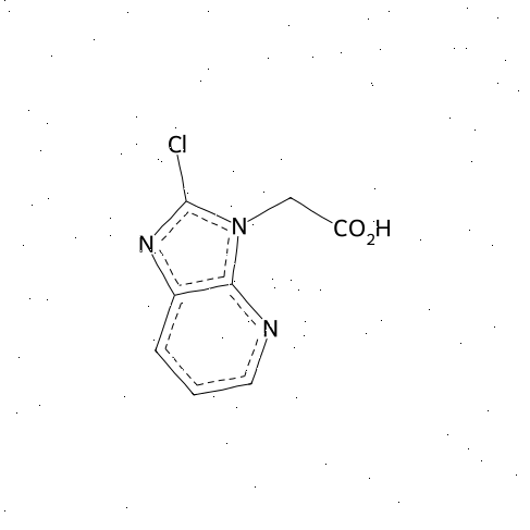 O=C(O)Cn1c(Cl)nc2cccnc21